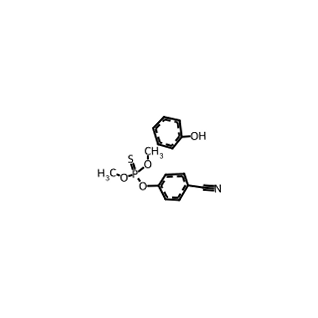 COP(=S)(OC)Oc1ccc(C#N)cc1.Oc1ccccc1